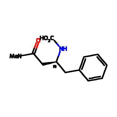 CNC(=O)C[C@H](Cc1ccccc1)NC(=O)O